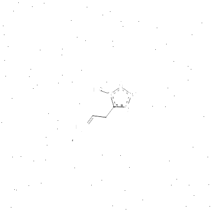 C=CCc1nnnn1O